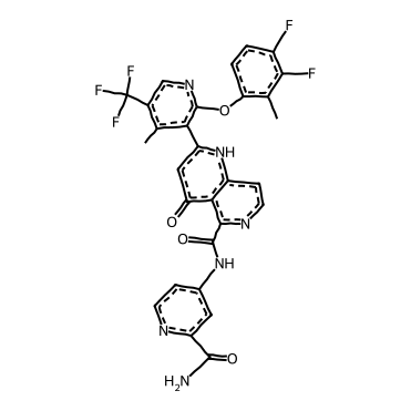 Cc1c(Oc2ncc(C(F)(F)F)c(C)c2-c2cc(=O)c3c(C(=O)Nc4ccnc(C(N)=O)c4)nccc3[nH]2)ccc(F)c1F